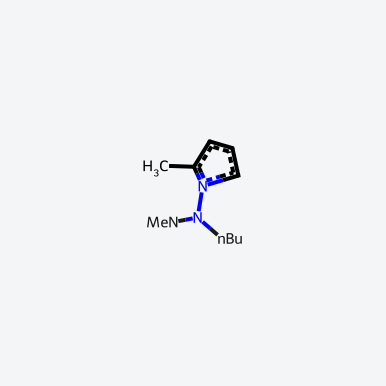 CCCCN(NC)n1cccc1C